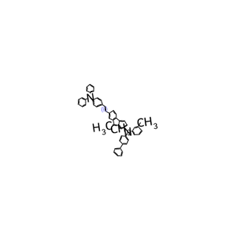 Cc1cccc(N(c2ccc(-c3ccccc3)cc2)c2ccc3c(c2)C(C)(C)c2cc(/C=C/c4ccc(N(c5ccccc5)c5ccccc5)cc4)ccc2-3)c1